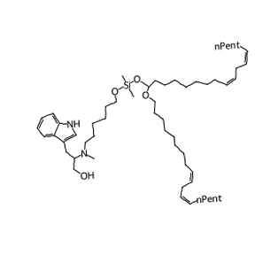 CCCCC/C=C\C/C=C\CCCCCCCCOC(CCCCCCC/C=C\C/C=C\CCCCC)O[Si](C)(C)OCCCCCCN(C)C(CO)Cc1c[nH]c2ccccc12